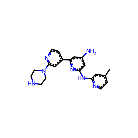 Cc1ccnc(Nc2cc(N)cc(-c3ccnc(N4CCNCC4)c3)n2)c1